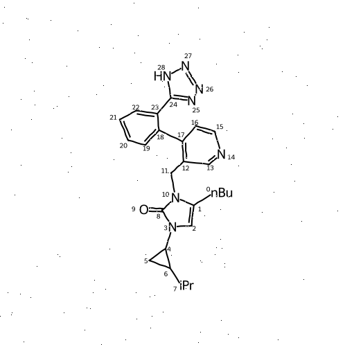 CCCCc1cn(C2CC2C(C)C)c(=O)n1Cc1cnccc1-c1ccccc1-c1nnn[nH]1